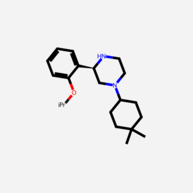 CC(C)Oc1ccccc1[C@@H]1CN(C2CCC(C)(C)CC2)CCN1